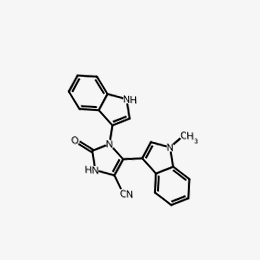 Cn1cc(-c2c(C#N)[nH]c(=O)n2-c2c[nH]c3ccccc23)c2ccccc21